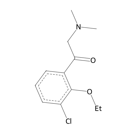 CCOc1c(Cl)cccc1C(=O)CN(C)C